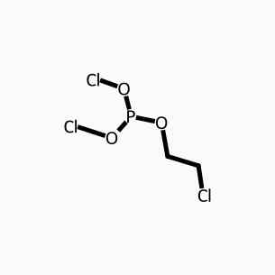 ClCCOP(OCl)OCl